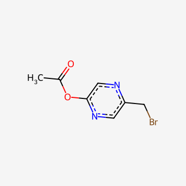 CC(=O)Oc1cnc(CBr)cn1